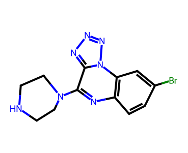 Brc1ccc2nc(N3CCNCC3)c3nnnn3c2c1